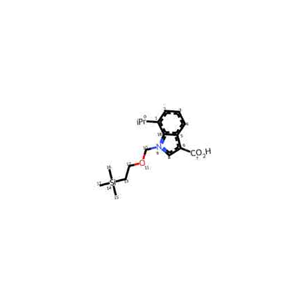 CC(C)c1cccc2c(C(=O)O)cn(COCC[Si](C)(C)C)c12